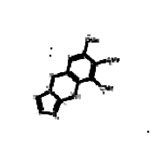 COc1cc2c(c(OC)c1OC)Nc1nccn1C2